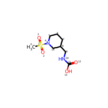 CS(=O)(=O)N1CCCC(CNC(=O)O)C1